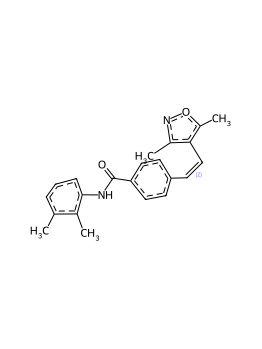 Cc1cccc(NC(=O)c2ccc(/C=C\c3c(C)noc3C)cc2)c1C